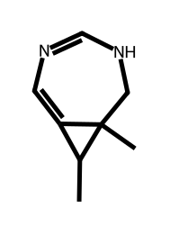 CC1C2=CN=CNCC21C